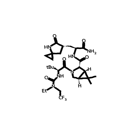 CCN(CC(F)(F)F)C(=O)N[C@H](C(=O)N1C[C@H]2[C@@H]([C@H]1C(=O)N[C@@H](C[C@@H]1CC3(CC3)NC1=O)C(N)=O)C2(C)C)C(C)(C)C